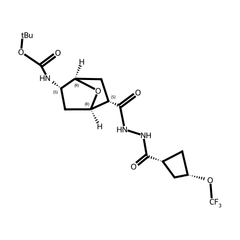 CC(C)(C)OC(=O)N[C@H]1C[C@H]2O[C@@H]1C[C@@H]2C(=O)NNC(=O)[C@H]1C[C@@H](OC(F)(F)F)C1